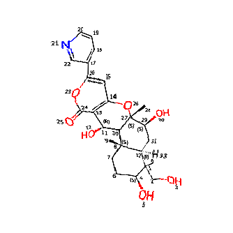 CC1(CO)[C@@H](O)CC[C@]2(C)C3[C@@H](O)c4c(cc(-c5cccnc5)oc4=O)O[C@]3(C)[C@@H](O)C[C@@H]12